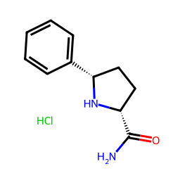 Cl.NC(=O)[C@H]1CC[C@@H](c2ccccc2)N1